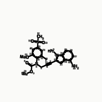 CCCn1c(C#CCN(C(=O)OC(C)(C)C)c2c(F)cc(S(C)(=O)=O)cc2OC)cc2c(N)cccc21